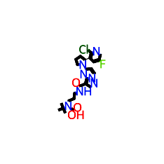 CC(C)(C)N(CCCNC(=O)c1cnn2ccc(N3CCC[C@@H]3c3cc(F)cnc3Cl)nc12)C(=O)O